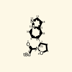 CC(C)(C)C(=O)N1OCC[C@H]1c1ccn2nccc2c1